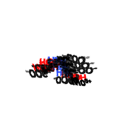 O=C([O-])C(O)CO.O=C([O-])C(O)CO.O=C([O-])C(O)CO.O=C([O-])C=Cc1c[nH]cn1.O=C([O-])C=Cc1c[nH]cn1.O=C([O-])C=Cc1c[nH]cn1.[Mo+6]